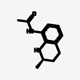 CC(=O)Nc1cccc2c1N[C@H](C)CC2